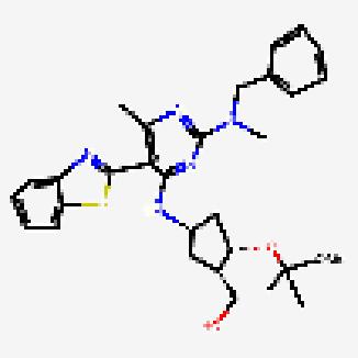 COC(C)(C)O[C@H]1C[C@H](Nc2nc(N(C)Cc3ccccc3)nc(C)c2-c2nc3ccccc3s2)C[C@@H]1CO